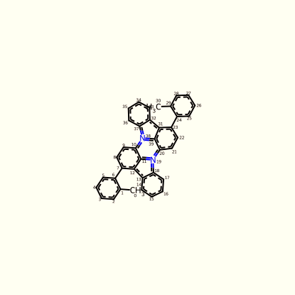 Cc1ccccc1-c1ccc2c3c1c1ccccc1n3c1ccc(-c3ccccc3C)c3c4ccccc4n2c31